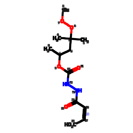 CC(CC(C)(C)OOC(C)(C)C)OC(=O)NNC(=O)/C=C\C(=O)O